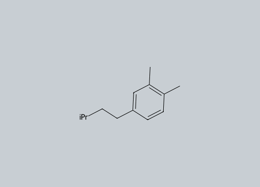 Cc1ccc(CCC(C)C)cc1C